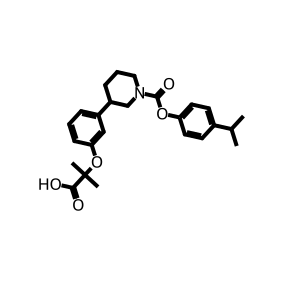 CC(C)c1ccc(OC(=O)N2CCCC(c3cccc(OC(C)(C)C(=O)O)c3)C2)cc1